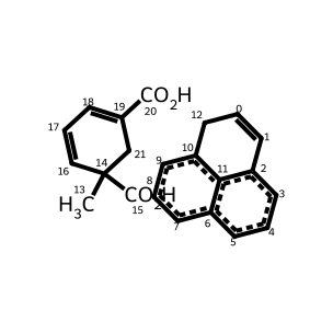 C1=Cc2cccc3cccc(c23)C1.CC1(C(=O)O)C=CC=C(C(=O)O)C1